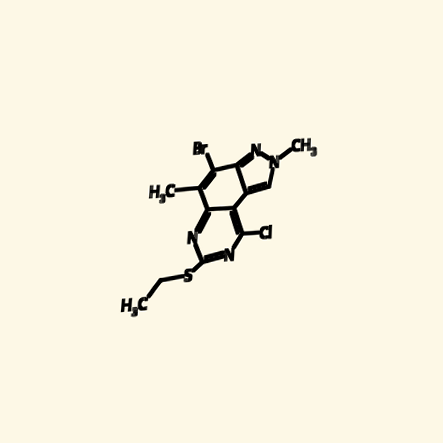 CCSc1nc(Cl)c2c(n1)c(C)c(Br)c1nn(C)cc12